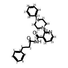 O=C(CCc1ccccc1)NC(=O)c1cccnc1N1CCN(c2ccccc2)CC1